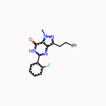 CC(C)CCc1nn(C)c2c(=O)[nH]c(-c3ccccc3F)nc12